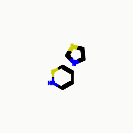 C1=CNSC=C1.c1cscn1